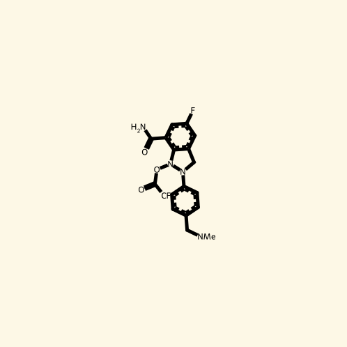 CNCc1ccc(N2Cc3cc(F)cc(C(N)=O)c3N2OC(=O)C(F)(F)F)cc1